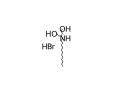 Br.CCCCCCCCCCCCNC(CCO)CCO